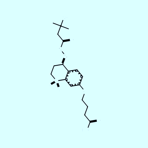 CC(C)(S)CC(=O)NN=C1CCS(=O)(=O)c2cc(OCCCC(=O)O)ccc21